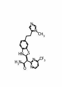 Cn1cncc1CCc1ccc2c(c1)S/C(=C(/C(N)=O)c1nccc(C(F)(F)F)n1)N2